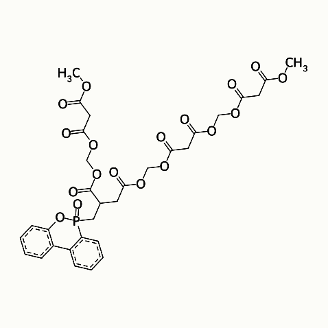 COC(=O)CC(=O)OCOC(=O)CC(=O)OCOC(=O)CC(CP1(=O)Oc2ccccc2-c2ccccc21)C(=O)OCOC(=O)CC(=O)OC